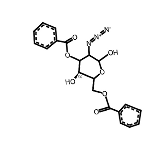 [N-]=[N+]=NC1C(O)OC(COC(=O)c2ccccc2)[C@@H](O)C1OC(=O)c1ccccc1